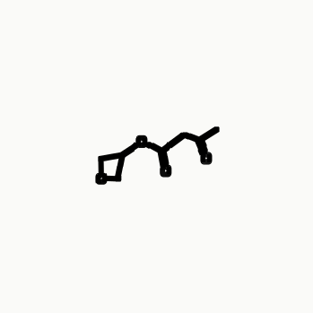 CC(=O)CC(=O)OC1COC1